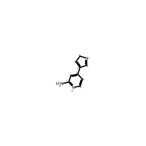 Nc1cc(C2=CCN=C2)ccn1